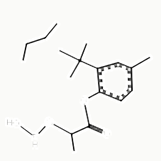 CCCC.Cc1ccc(OC(=O)C(C)OPO)c(C(C)(C)C)c1